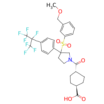 COCc1cccc(S(=O)(=O)C2(c3ccc(C(F)(C(F)(F)F)C(F)(F)F)cc3)CCN(C(=O)[C@H]3CC[C@H](C(=O)O)CC3)C2)c1